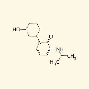 CC(C)Nc1cccn(C2CCCC(O)C2)c1=O